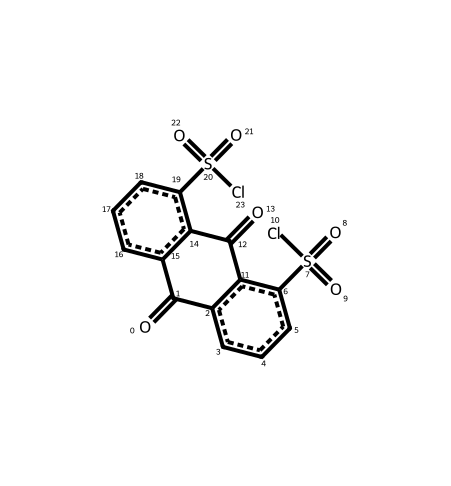 O=C1c2cccc(S(=O)(=O)Cl)c2C(=O)c2c1cccc2S(=O)(=O)Cl